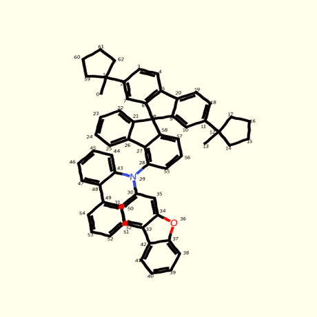 CC1(c2ccc3c(c2)C2(c4cc(C5(C)CCCC5)ccc4-3)c3ccccc3-c3c(N(c4ccc5c(c4)oc4ccccc45)c4ccccc4-c4ccccc4)cccc32)CCCC1